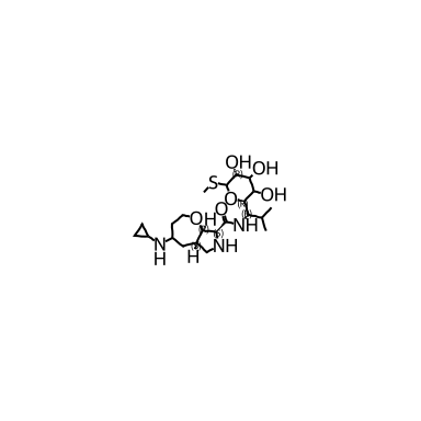 CSC1O[C@H]([C@H](NC(=O)[C@H]2NC[C@@H]3CC(NC4CC4)CCO[C@H]32)C(C)C)C(O)C(O)[C@H]1O